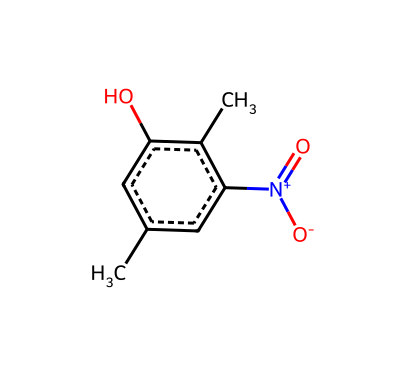 Cc1cc(O)c(C)c([N+](=O)[O-])c1